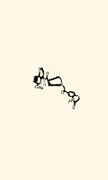 COc1ccc2nccc(NC(=O)C3CCN(CC(=O)c4ccc5c(c4)NC(=O)CS5)CC3)c2n1